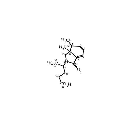 CC1C=CC=C2C(=O)N(C(CCC(=O)O)C(=O)O)CC21C